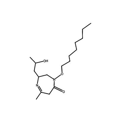 CCCCCCCCON1CC(CC(C)O)N=C(C)CC1=O